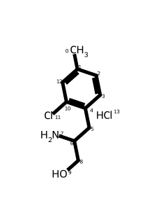 Cc1ccc(CC(N)CO)c(Cl)c1.Cl